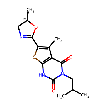 Cc1c(C2=NC[C@@H](C)O2)sc2[nH]c(=O)n(CC(C)C)c(=O)c12